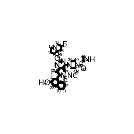 N#CC[C@H]1CN(c2nc(OC[C@@]34CCCN3C[C@H](F)C4)nc3c(F)c(-c4cc(O)cc5cccc(F)c45)ncc23)CCN1C(=O)[C@@H]1CN1